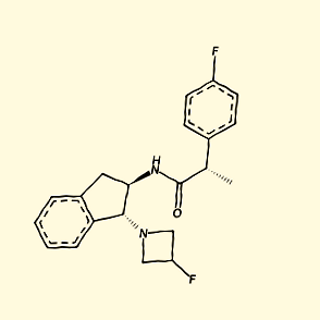 C[C@H](C(=O)N[C@@H]1Cc2ccccc2[C@H]1N1CC(F)C1)c1ccc(F)cc1